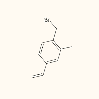 C=Cc1ccc(CBr)c(C)c1